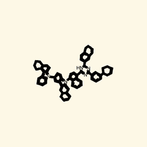 C1=CCC2C=c3c(n(-c4ccc(C5=NC(c6cccc(C7CC=CCC7)c6)=NC(c6ccc7c(c6)C=CCC7)N5)c5ccccc45)c4ccc(-n5c6ccccc6c6c7c(ccc65)CCCC7)cc34)=CC2=C1